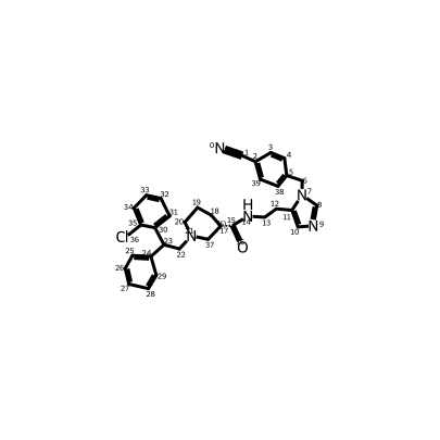 N#Cc1ccc(Cn2cncc2CCNC(=O)[C@H]2CCCN(CC(c3ccccc3)c3ccccc3Cl)C2)cc1